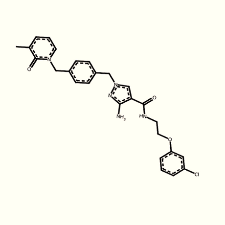 Cc1cccn(Cc2ccc(Cn3cc(C(=O)NCCOc4cccc(Cl)c4)c(N)n3)cc2)c1=O